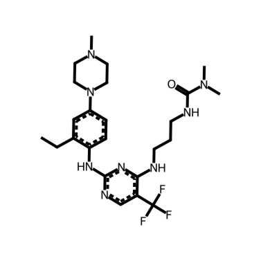 CCc1cc(N2CCN(C)CC2)ccc1Nc1ncc(C(F)(F)F)c(NCCCNC(=O)N(C)C)n1